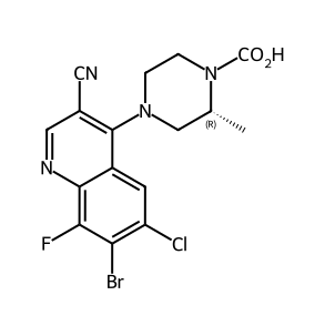 C[C@@H]1CN(c2c(C#N)cnc3c(F)c(Br)c(Cl)cc23)CCN1C(=O)O